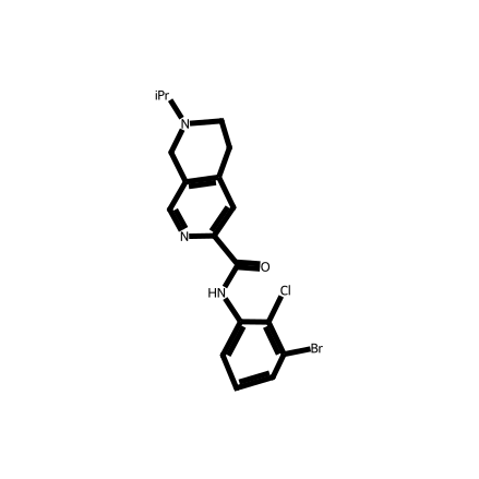 CC(C)N1CCc2cc(C(=O)Nc3cccc(Br)c3Cl)ncc2C1